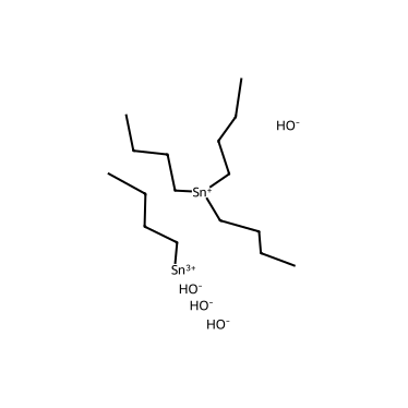 CCC[CH2][Sn+3].CCC[CH2][Sn+]([CH2]CCC)[CH2]CCC.[OH-].[OH-].[OH-].[OH-]